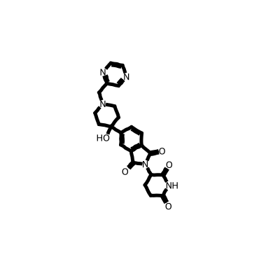 O=C1CCC(N2C(=O)c3ccc(C4(O)CCN(Cc5cnccn5)CC4)cc3C2=O)C(=O)N1